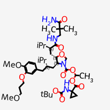 COCCCOc1cc(C[C@@H](C[C@H]2[C@H](C[C@H](C(=O)NCC(C)(C)C(N)=O)C(C)C)OCN2C(=O)OC(C)OC(=O)C2(NC(=O)OC(C)(C)C)CC2)C(C)C)ccc1OC